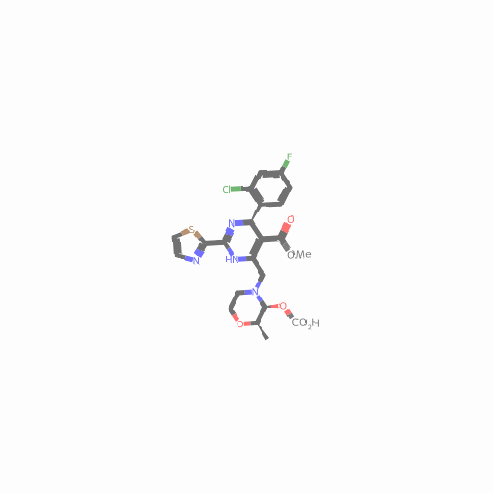 COC(=O)C1=C(CN2CCO[C@H](C)[C@@H]2OC(=O)O)NC(c2nccs2)=N[C@H]1c1ccc(F)cc1Cl